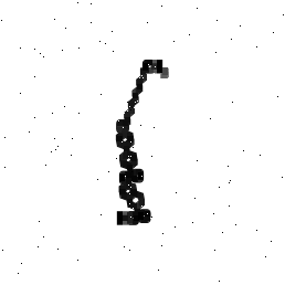 CCCCCCCCCCCOc1ccc(-c2ccc(C(=O)Oc3ccc4c(c3)CCC(C(=O)O)C4)cc2)cc1